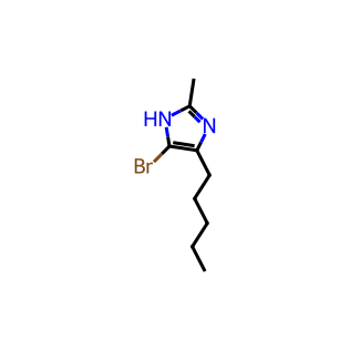 CCCCCc1nc(C)[nH]c1Br